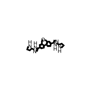 c1cc2c(cc1-c1cnc(C3CCCN3)[nH]1)COCc1cc(-c3cnc(C4CCCN4)[nH]3)ccc1-2